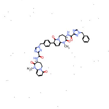 CN1C(=O)[C@@H](NC(=O)c2ncn(Cc3ccc(-c4ccc5n(c4=O)CC[C@@H](NC(=O)c4ncn(Cc6ccccc6)n4)C(=O)N5C)cc3)n2)CCn2c1cccc2=O